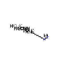 CC/C=C\C/C=C\CCCCCCCCCCC(=O)NCCOC(=O)Nc1ccc(O)c(C(=O)O)c1